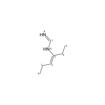 CCC=C(CC)NC=N